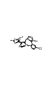 Cc1nc(-c2ncn3c2Cc2cn[nH]c2-c2cc(Cl)ccc2-3)no1